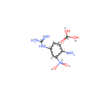 N=C(N)Nc1ccc(N)c([N+](=O)[O-])c1.O=C(O)O